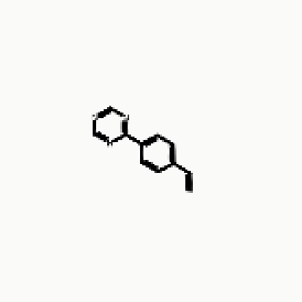 C=Cc1ccc(-c2ncncn2)cc1